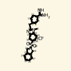 Cl.Cn1c(Cc2ccc(C(=N)N)cc2)nc2cc(S(=O)(=O)N3Cc4ccccc4C3)ccc21